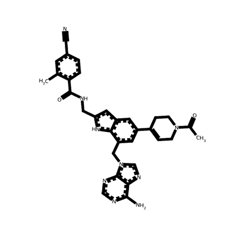 CC(=O)N1CC=C(c2cc(Cn3cnc4c(N)ncnc43)c3[nH]c(CNC(=O)c4ccc(C#N)cc4C)cc3c2)CC1